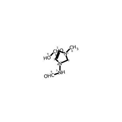 CN1C=CN(NC=O)C1.O=CO